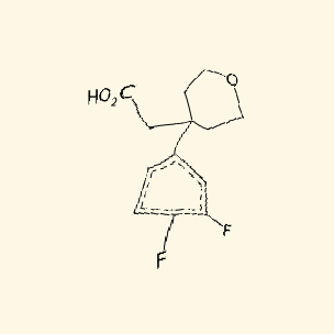 O=C(O)CC1(c2ccc(F)c(F)c2)CCOCC1